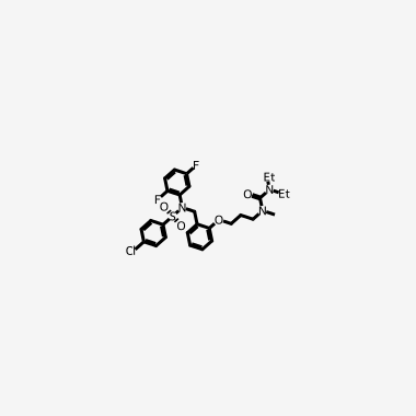 CCN(CC)C(=O)N(C)CCCOc1ccccc1CN(c1cc(F)ccc1F)S(=O)(=O)c1ccc(Cl)cc1